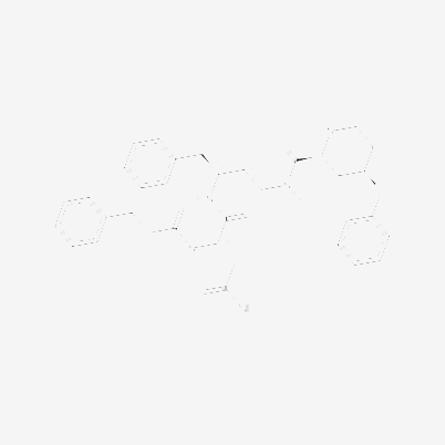 CC(C)(C)N(C[C@@H](O)[C@H](Cc1ccccc1)NC(=O)[C@H](CC(N)=O)NC(=O)OCc1ccccc1)C(=O)[C@@H]1C[C@H](Oc2ccccc2)CCN1